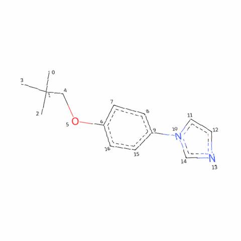 CC(C)(C)COc1ccc(-n2ccnc2)cc1